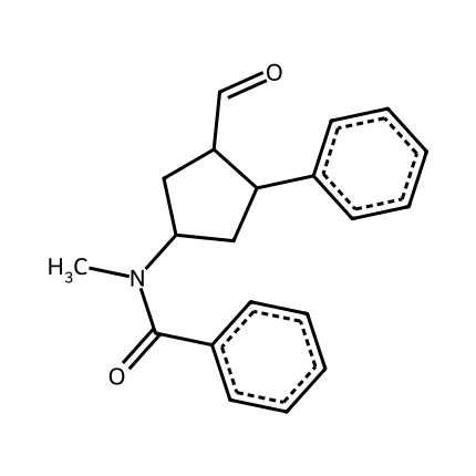 CN(C(=O)c1ccccc1)C1CC(C=O)C(c2ccccc2)C1